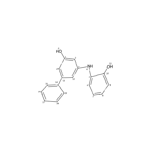 Oc1cc(Nc2ccccc2O)cc(-c2ccccc2)c1